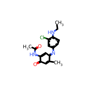 CCNc1ccc(N=C2C=C(NC(C)=O)C(=O)C=C2C)cc1Cl